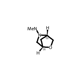 CNN1C[C@@H]2C[C@H]1CO2